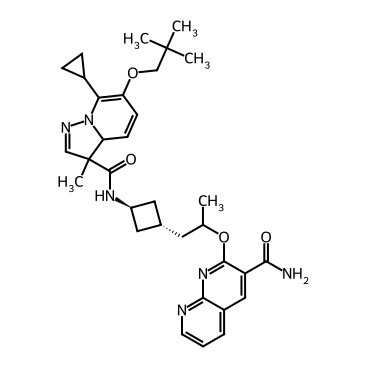 CC(C[C@H]1C[C@H](NC(=O)C2(C)C=NN3C(C4CC4)=C(OCC(C)(C)C)C=CC32)C1)Oc1nc2ncccc2cc1C(N)=O